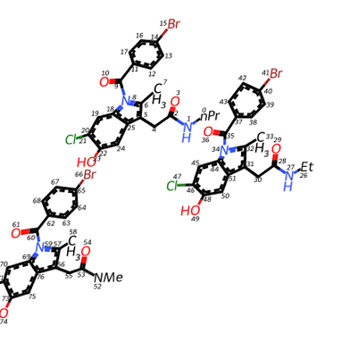 CCCNC(=O)Cc1c(C)n(C(=O)c2ccc(Br)cc2)c2cc(Cl)c(O)cc12.CCNC(=O)Cc1c(C)n(C(=O)c2ccc(Br)cc2)c2cc(Cl)c(O)cc12.CNC(=O)Cc1c(C)n(C(=O)c2ccc(Br)cc2)c2cc(Cl)c(O)cc12